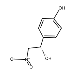 O=[N+]([O-])C[C@@H](O)c1ccc(O)cc1